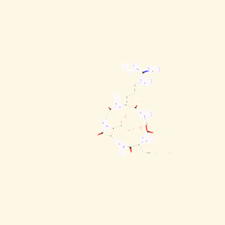 N=C(N)NCCCC1NC(=O)CN2C(=O)C(NC(=O)C(CC(=O)O)NC(=O)CNC1=O)C2C(O)CO